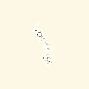 CCOC(=O)c1ccc(N2CCC(NC[C@H](O)COc3cccc([N+](=O)[O-])c3N)CC2)nc1